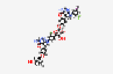 CC(C)(O)CCOc1ccc(-c2cn(-c3ccc(C4OC5C(Oc6ccc(-c7cn(-c8cc(F)cc(I)c8)c8nc[nH]c(=O)c78)cc6)COC5C4O)c(F)c3)c3nc[nH]c(=O)c23)cc1